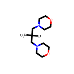 CCC(CN1CCOCC1)(CN1CCOCC1)[N+](=O)[O-]